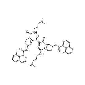 Cc1cccc2cccc(C(=O)OC3CC4CC3C(C(=O)NC(=O)C3C5CC(CC5OC(=O)c5cccc6cccc(C)c56)C3C(=O)NCCCN(C)C)C4C(=O)NCCCN(C)C)c12